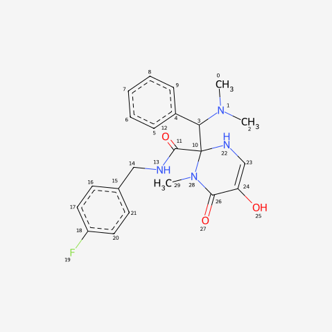 CN(C)C(c1ccccc1)C1(C(=O)NCc2ccc(F)cc2)NC=C(O)C(=O)N1C